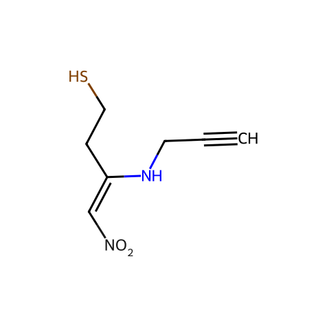 C#CCNC(=C[N+](=O)[O-])CCS